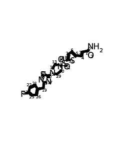 NC(=O)/C=C/c1ccc(S(=O)(=O)N2CCN(c3nc(Cc4ccc(F)cc4)ns3)CC2)s1